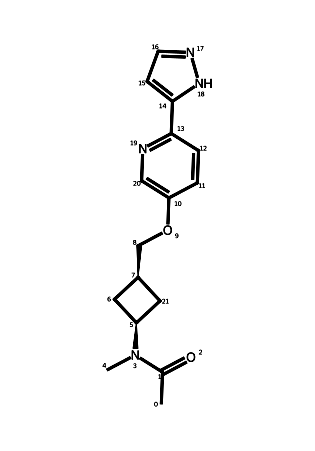 CC(=O)N(C)[C@H]1C[C@@H](COc2ccc(-c3ccn[nH]3)nc2)C1